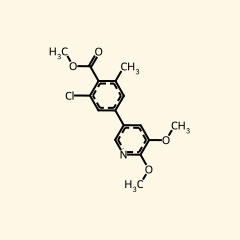 COC(=O)c1c(C)cc(-c2cnc(OC)c(OC)c2)cc1Cl